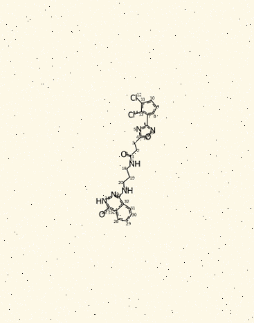 O=C(CCc1nc(-c2cccc(Cl)c2Cl)no1)NCCCNc1n[nH]c(=O)c2ccccc12